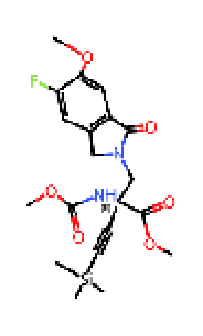 COC(=O)N[C@](C#C[Si](C)(C)C)(CN1Cc2cc(F)c(OC)cc2C1=O)C(=O)OC